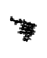 [Ca+2].[Dy+3].[O]=[Al][O-].[O]=[Al][O-].[O]=[Al][O-].[O]=[Al][O-].[O]=[Al][O-]